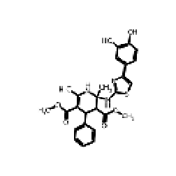 COC(=O)C1=C(C)NC(C)(Nc2nc(-c3ccc(O)c(O)c3)cs2)C(C(=O)OC)C1c1ccccc1